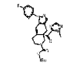 Cn1ncnc1C(=O)[C@]12Cc3cnn(-c4ccc(F)cc4)c3C=C1CCN(C(=O)OC(C)(C)C)C2